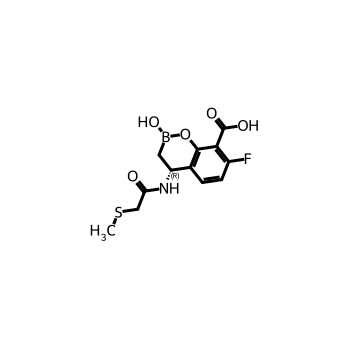 CSCC(=O)N[C@@H]1CB(O)Oc2c1ccc(F)c2C(=O)O